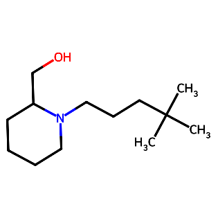 CC(C)(C)CCCN1CCCCC1CO